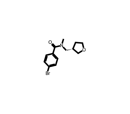 CN(C[C@@H]1CCOC1)C(=O)c1ccc(Br)cc1